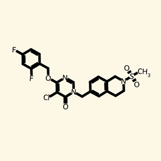 CS(=O)(=O)N1CCc2cc(Cn3cnc(OCc4ccc(F)cc4F)c(Cl)c3=O)ccc2C1